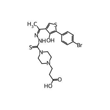 C/C(=N/NC(=S)N1CCN(CCC(=O)O)CC1)c1csc(-c2ccc(Br)cc2)c1O